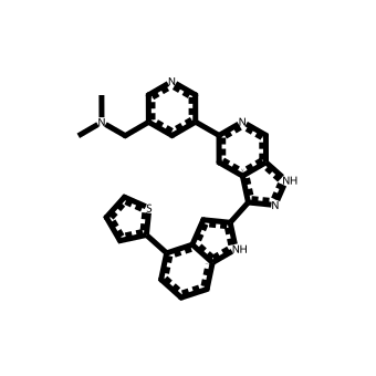 CN(C)Cc1cncc(-c2cc3c(-c4cc5c(-c6cccs6)cccc5[nH]4)n[nH]c3cn2)c1